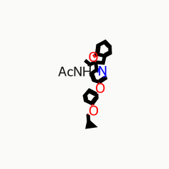 CC(=O)NC(C)C1(c2ccc(Oc3cccc(OCC4CC4)c3)cn2)Cc2ccccc2O1